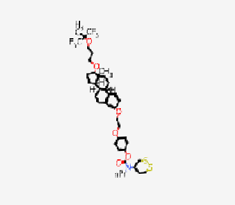 CCCN(C(=O)Oc1ccc(OCCOc2ccc3c(c2)CC[C@@H]2[C@@H]3CC[C@]3(C)[C@@H](OCCCOC(C)(C(F)(F)F)C(F)(F)F)CC[C@@H]23)cc1)C1CCSSC1